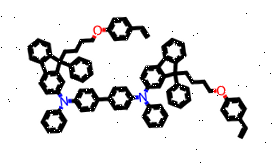 C=Cc1ccc(OCCCCC2(c3ccccc3)c3ccccc3-c3ccc(N(c4ccccc4)c4ccc(-c5ccc(N(c6ccccc6)c6ccc7c(c6)C(CCCCOc6ccc(C=C)cc6)(c6ccccc6)c6ccccc6-7)cc5)cc4)cc32)cc1